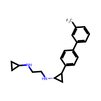 FC(F)(F)c1cccc(-c2ccc(C3C[C@@H]3NCCNC3CC3)cc2)c1